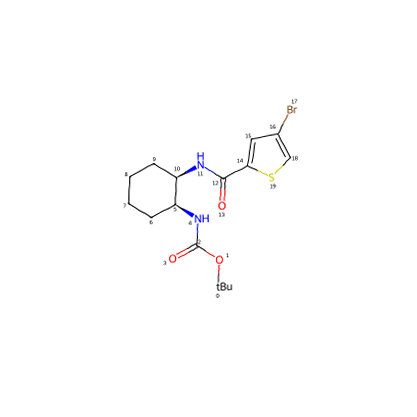 CC(C)(C)OC(=O)N[C@H]1CCCC[C@H]1NC(=O)c1cc(Br)cs1